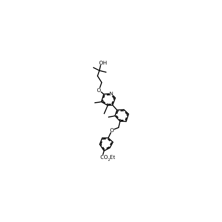 CCOC(=O)c1ccc(OCc2cccc(-c3cnc(OCCC(C)(C)O)c(C)c3C)c2C)cc1